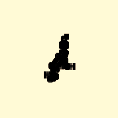 CCOc1ccc(-c2ccc(S(=O)(=O)N3CCN(S(=O)(=O)CCNS(C)(=O)=O)C[C@@H]3C(=O)NO)s2)cc1